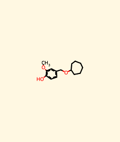 COc1cc(COC2CCCCCC2)ccc1O